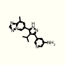 Cc1cc(-c2[nH]nc(-c3cncc(N)c3)c2C(C)C)cn2ncnc12